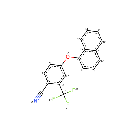 N#Cc1ccc(Oc2cccc3ccccc23)cc1C(F)(F)F